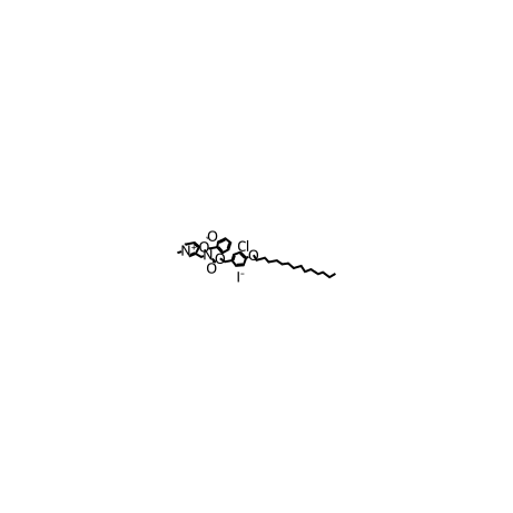 CCCCCCCCCCCCCCOc1ccc(COC(=O)N(Cc2ccc[n+](C)c2)C(=O)c2ccccc2OC)cc1Cl.[I-]